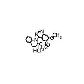 COc1cc2ncnc(N3c4ccccc4CCC3C)c2cc1OC.Cl